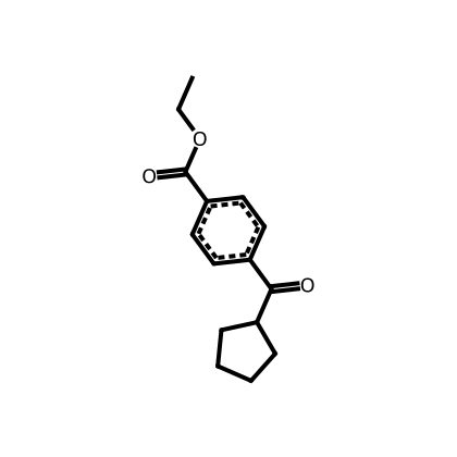 CCOC(=O)c1ccc(C(=O)C2CCCC2)cc1